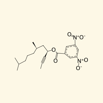 CC#C[C@@H](C[C@H](C)CCCC(C)C)OC(=O)c1cc([N+](=O)[O-])cc([N+](=O)[O-])c1